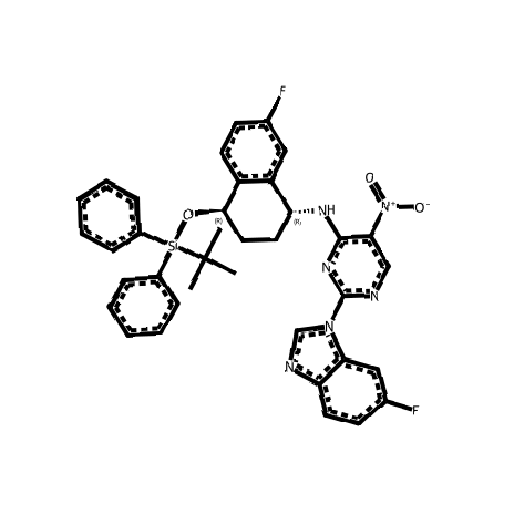 CC(C)(C)[Si](O[C@@H]1CC[C@@H](Nc2nc(-n3cnc4ccc(F)cc43)ncc2[N+](=O)[O-])c2cc(F)ccc21)(c1ccccc1)c1ccccc1